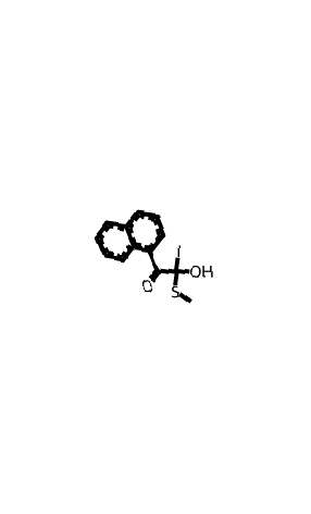 CSC(O)(I)C(=O)c1cccc2ccccc12